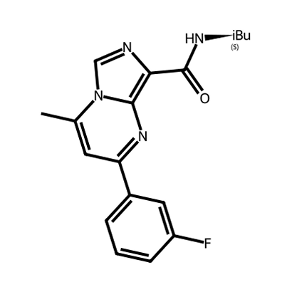 CC[C@H](C)NC(=O)c1ncn2c(C)cc(-c3cccc(F)c3)nc12